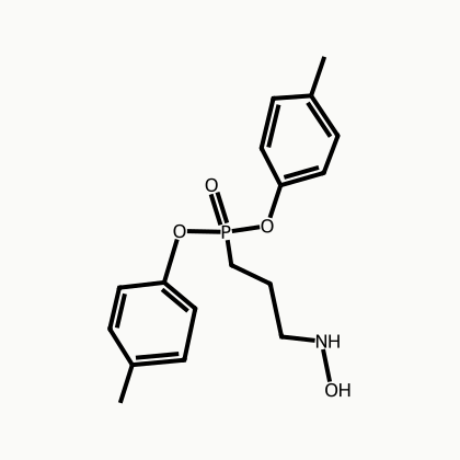 Cc1ccc(OP(=O)(CCCNO)Oc2ccc(C)cc2)cc1